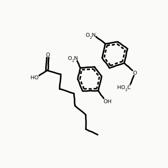 CCCCCCCC(=O)O.O=C(O)Oc1ccc([N+](=O)[O-])cc1.O=[N+]([O-])c1ccc(O)cc1